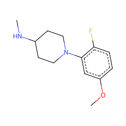 CNC1CCN(c2cc(OC)ccc2F)CC1